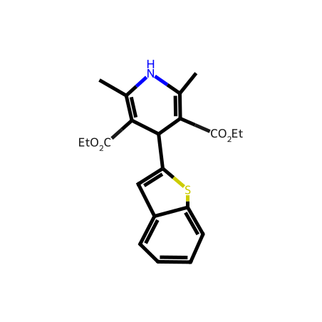 CCOC(=O)C1=C(C)NC(C)=C(C(=O)OCC)C1c1cc2ccccc2s1